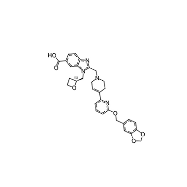 O=C(O)c1ccc2nc(CN3CC=C(c4cccc(OCc5ccc6c(c5)OCO6)n4)CC3)n(C[C@@H]3CCO3)c2c1